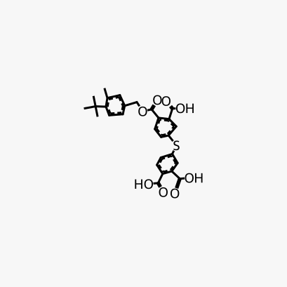 Cc1cc(COC(=O)c2ccc(Sc3ccc(C(=O)O)c(C(=O)O)c3)cc2C(=O)O)ccc1C(C)(C)C